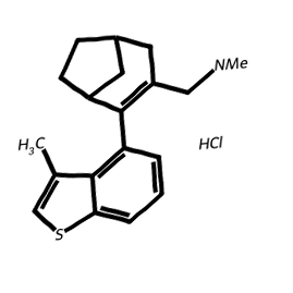 CNCC1=C(c2cccc3scc(C)c23)C2CCC(C1)C2.Cl